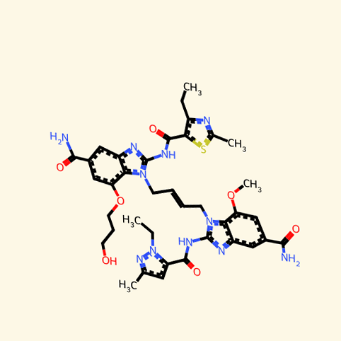 CCc1nc(C)sc1C(=O)Nc1nc2cc(C(N)=O)cc(OCCCO)c2n1C/C=C/Cn1c(NC(=O)c2cc(C)nn2CC)nc2cc(C(N)=O)cc(OC)c21